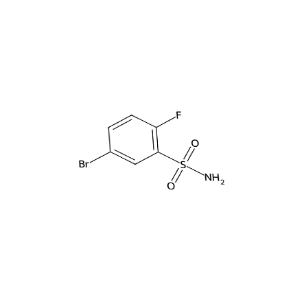 NS(=O)(=O)c1cc(Br)ccc1F